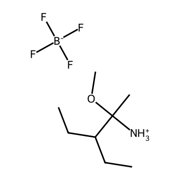 CCC(CC)C(C)([NH3+])OC.F[B-](F)(F)F